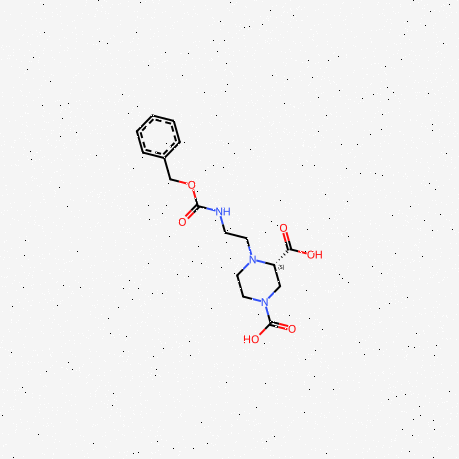 O=C(NCCN1CCN(C(=O)O)C[C@H]1C(=O)O)OCc1ccccc1